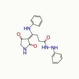 O=C(CCC(Nc1ccccc1)=C1C(=O)CNC1=O)NNc1ccccc1